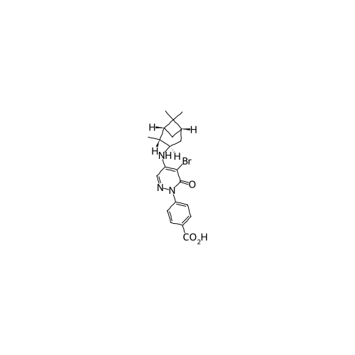 C[C@@H]1[C@H]2C[C@@H](C[C@H]1Nc1cnn(-c3ccc(C(=O)O)cc3)c(=O)c1Br)C2(C)C